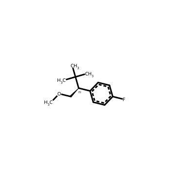 COC[C@H](c1ccc(F)cc1)C(C)(C)C